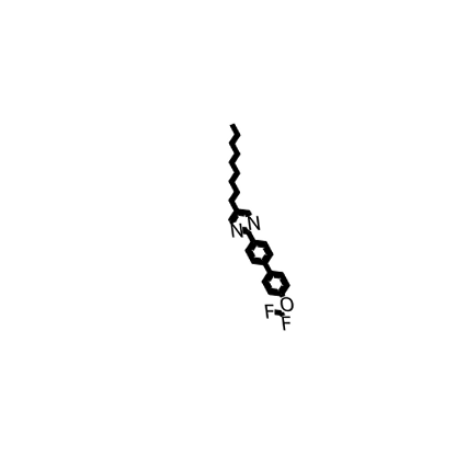 CCCCCCCCCc1cnc(-c2ccc(-c3ccc(OC(F)F)cc3)cc2)nc1